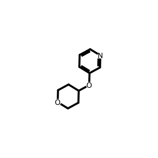 c1cncc(OC2CCOCC2)c1